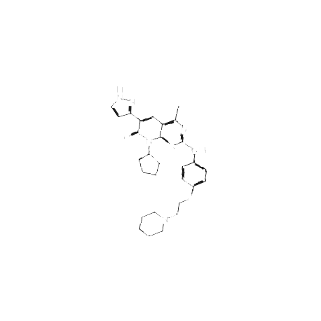 Cc1nc(Nc2ccc(OCCN3CCCCC3)cc2)nc2c1cc(-c1cc[nH]n1)c(=O)n2C1CCCC1